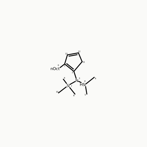 CCCCCCCCC1=C(N([SiH](C)C)[Si](C)(C)C)CC=C1